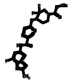 Cc1cn2cc(NC(=O)c3cnc(OC4CCN(C(=O)OC(C)(C)C)CC4(F)F)cn3)cc(F)c2n1